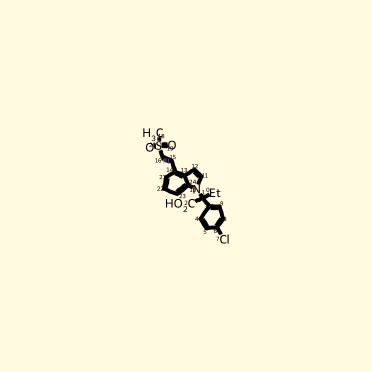 CCC(C(=O)O)(c1ccc(Cl)cc1)n1ccc2c(/C=C/S(C)(=O)=O)cccc21